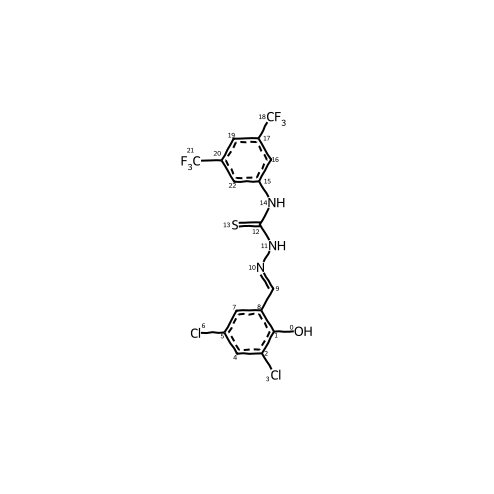 Oc1c(Cl)cc(Cl)cc1C=NNC(=S)Nc1cc(C(F)(F)F)cc(C(F)(F)F)c1